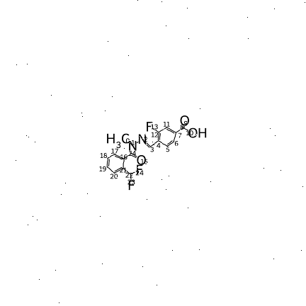 CN(N=Cc1ccc(C(=O)O)cc1F)C(=O)c1ccccc1C(F)F